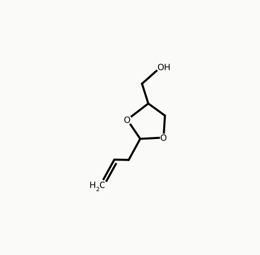 C=CCC1OCC(CO)O1